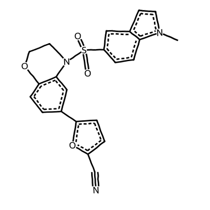 Cn1ccc2cc(S(=O)(=O)N3CCOc4ccc(-c5ccc(C#N)o5)cc43)ccc21